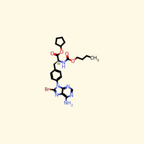 CCCCOC(=O)N[C@@H](Cc1ccc(-n2c(Br)nc3c(N)ncnc32)cc1)C(=O)OC1CCCC1